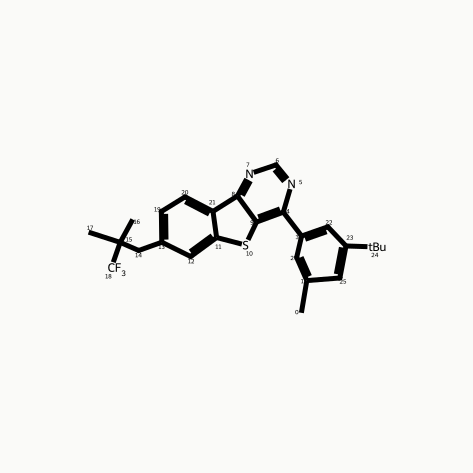 Cc1cc(-c2ncnc3c2sc2cc(CC(C)(C)C(F)(F)F)ccc23)cc(C(C)(C)C)c1